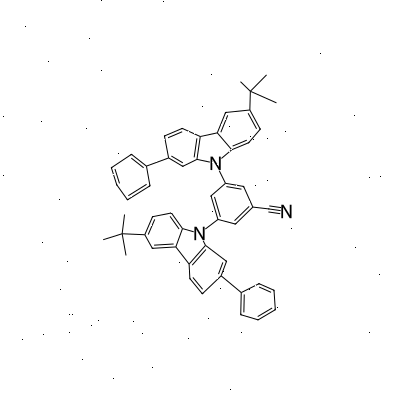 CC(C)(C)c1ccc2c(c1)c1ccc(-c3ccccc3)cc1n2-c1cc(C#N)cc(-n2c3ccc(C(C)(C)C)cc3c3ccc(-c4ccccc4)cc32)c1